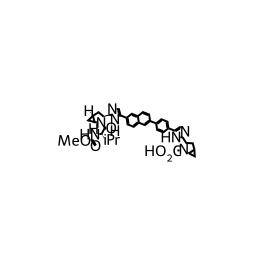 COC(=O)N[C@H](C(=O)N1[C@@H]2C[C@H]2C[C@H]1c1ncc(-c2ccc3cc(-c4ccc(-c5cnc(C6CC7CC7N6C(=O)O)[nH]5)cc4)ccc3c2)[nH]1)C(C)C